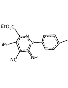 CCOC(=O)c1nn(-c2ccc(C)cc2)c(=N)c(C#N)c1C(C)C